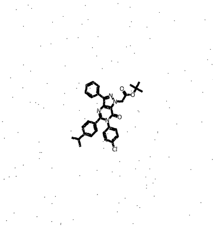 CC(C)c1ccc(-c2nc3c(-c4ccccc4)nn(CC(=O)OC(C)(C)C)c3c(=O)n2-c2ccc(Cl)cc2)cc1